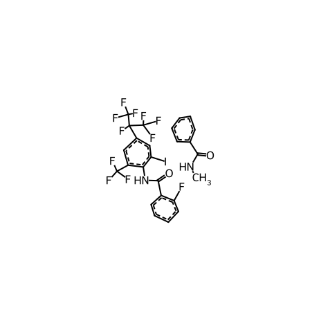 CNC(=O)c1ccccc1.O=C(Nc1c(I)cc(C(F)(C(F)(F)F)C(F)(F)F)cc1C(F)(F)F)c1ccccc1F